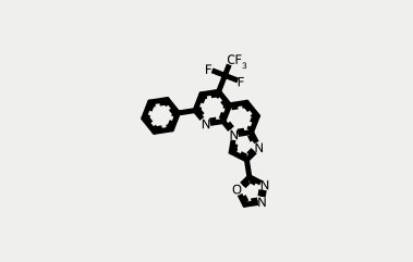 FC(F)(F)C(F)(F)c1cc(-c2ccccc2)nc2c1ccc1nc(-c3nnco3)cn12